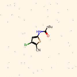 CCCCC(=O)Nc1cc(Br)c(C#N)s1